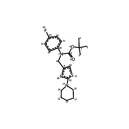 CC(C)(C)OC(=O)N(Cc1csc(N2CCCCC2)n1)c1ccc(F)cc1